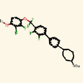 CCCCC1CCCC(c2ccc(-c3ccc(C(F)(F)Oc4ccc(OCC)c(F)c4F)c(F)c3F)cc2)CC1